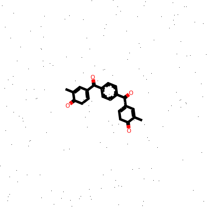 CC1=CC(C(=O)c2ccc(C(=O)C3=CCC(=O)C(C)=C3)cc2)=CCC1=O